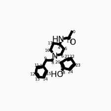 CC(=O)NC1CCN(CCc2ccccc2)CC1.Oc1ccccc1